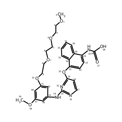 COCCOCCOCCOc1cc(Nc2nccc(Oc3ccc(NC(=O)O)c4ccccc34)n2)cc(OC)c1